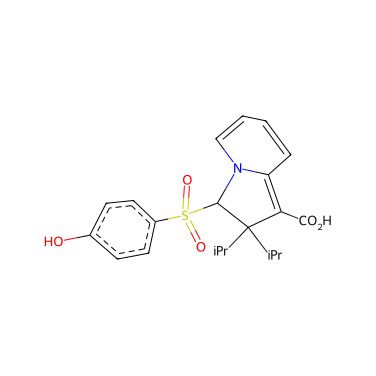 CC(C)C1(C(C)C)C(C(=O)O)=C2C=CC=CN2C1S(=O)(=O)c1ccc(O)cc1